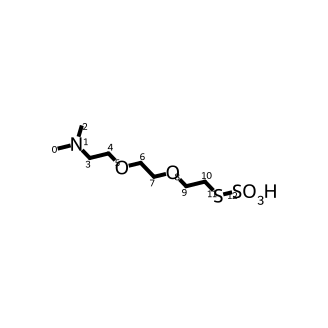 CN(C)CCOCCOCCSS(=O)(=O)O